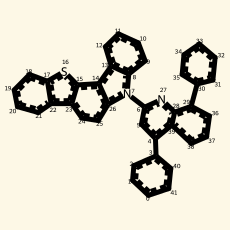 c1ccc(-c2cc(-n3c4ccccc4c4c5sc6ccccc6c5ccc43)nc3c(-c4ccccc4)cccc23)cc1